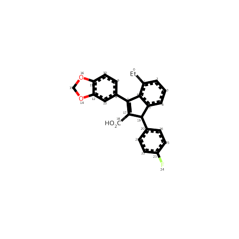 CCc1cccc2c1C(c1ccc3c(c1)OCO3)=C(C(=O)O)C2c1ccc(F)cc1